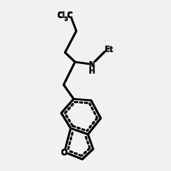 CCNC(CCC(Cl)(Cl)Cl)Cc1ccc2ccoc2c1